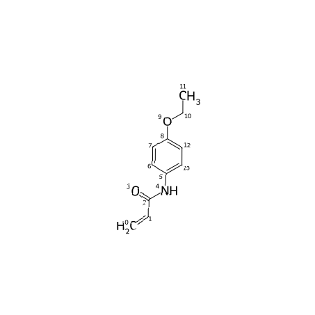 C=CC(=O)Nc1ccc(OCC)cc1